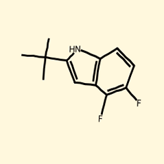 CC(C)(C)c1cc2c(F)c(F)ccc2[nH]1